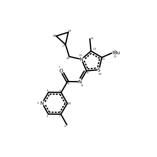 Cc1cncc(C(=O)/N=c2/sc(C(C)(C)C)c(C)n2CC2CC2)c1